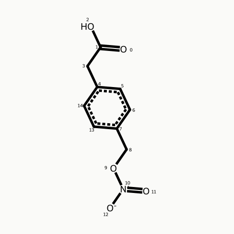 O=C(O)Cc1ccc(CO[N+](=O)[O-])cc1